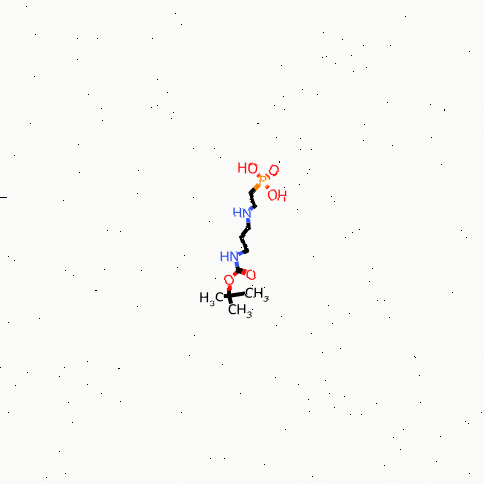 CC(C)(C)OC(=O)NCCCNCCP(=O)(O)O